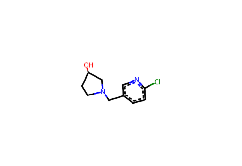 OC1CCN(Cc2ccc(Cl)nc2)C1